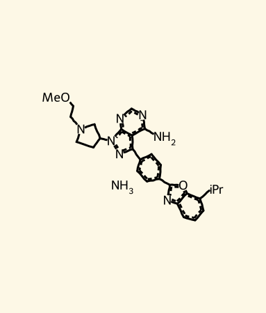 COCCN1CCC(n2nc(-c3ccc(-c4nc5cccc(C(C)C)c5o4)cc3)c3c(N)ncnc32)C1.N